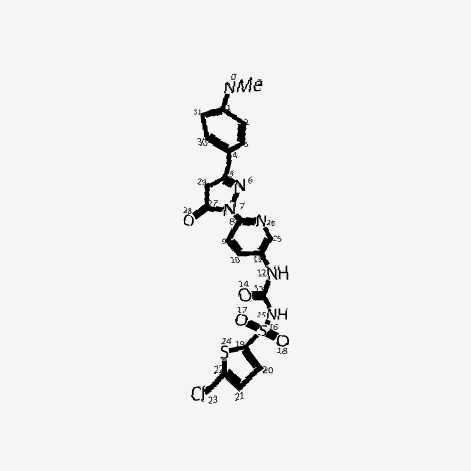 CNc1ccc(C2=NN(c3ccc(NC(=O)NS(=O)(=O)c4ccc(Cl)s4)cn3)C(=O)C2)cc1